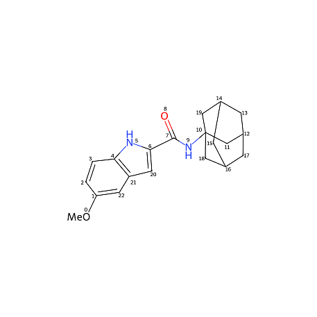 COc1ccc2[nH]c(C(=O)NC34CC5CC(CC(C5)C3)C4)cc2c1